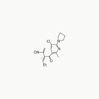 C=C(N=O)/C(=C/CC)C(=O)c1cc(Cl)c(N2CCCC2)nc1C